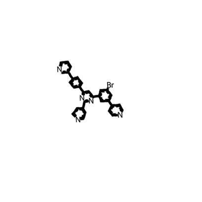 Brc1cc(-c2ccncc2)cc(-c2cc(-c3ccc(-c4cccnc4)cc3)nc(-c3ccncc3)n2)c1